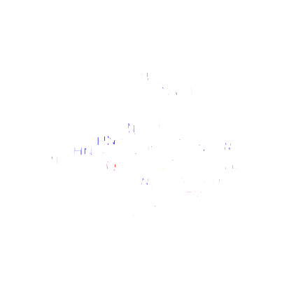 CCNC(=O)Nc1cc(-c2nc(-c3ccccc3)cs2)c(-c2cc3c(=O)c(C(=O)O)cn(CC4CCCN4CC)c3cc2OCCN(C)C)cn1